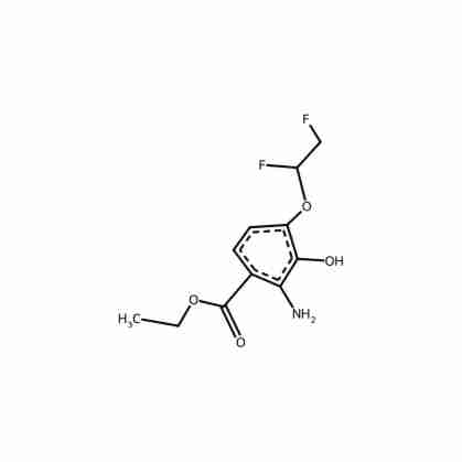 CCOC(=O)c1ccc(OC(F)CF)c(O)c1N